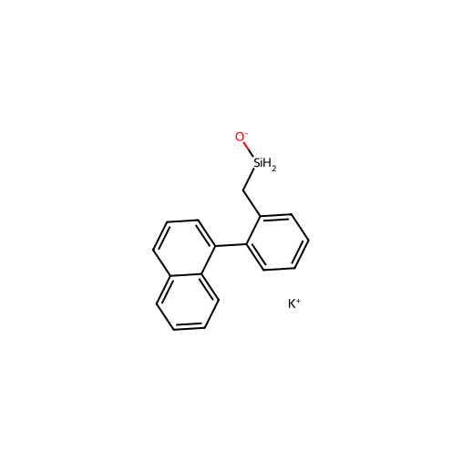 [K+].[O-][SiH2]Cc1ccccc1-c1cccc2ccccc12